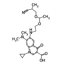 CC(C#N)COC(C)OCCNc1cc2c(=O)c(C(=O)O)cn(C3CC3)c2cc1N(C)C